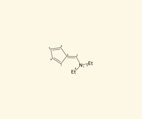 CCN(C=C1C=CC=C1)CC